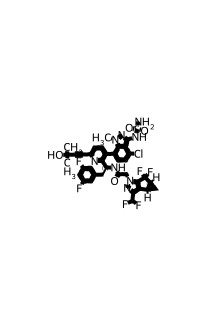 Cn1nc(NS(N)(=O)=O)c2c(Cl)ccc(-c3ccc(C#CC(C)(C)O)nc3[C@H](Cc3cc(F)cc(F)c3)NC(=O)Cn3nc(C(F)F)c4c3C(F)(F)[C@@H]3C[C@H]43)c21